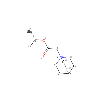 C[C@@H](OC(=O)C[N+]12CCC(CC1)CC2)C(C)(C)C